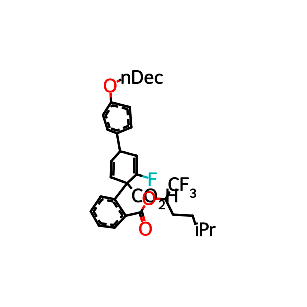 CCCCCCCCCCOc1ccc(C2C=CC(C(=O)O)(c3ccccc3C(=O)OC(CCC(C)C)C(F)(F)F)C(F)=C2)cc1